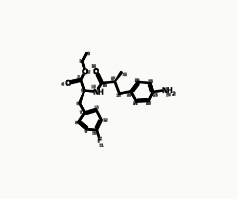 CCOC(=O)[C@H](Cc1ccc(F)cc1)NC(=O)[C@@H](C)Cc1ccc(N)cc1